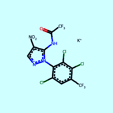 O=C(Nc1c([N+](=O)[O-])cnn1-c1c(Cl)cc(C(F)(F)F)c(Cl)c1Cl)C(F)(F)F.[K+]